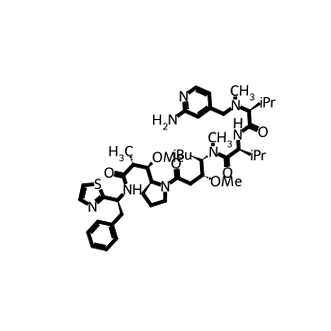 CC[C@H](C)[C@@H]([C@@H](CC(=O)N1CCC[C@H]1[C@H](OC)[C@@H](C)C(=O)N[C@@H](Cc1ccccc1)c1nccs1)OC)N(C)C(=O)[C@@H](NC(=O)[C@H](C(C)C)N(C)Cc1ccnc(N)c1)C(C)C